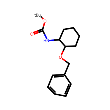 CC(C)(C)OC(=O)NC1CCCCC1OCc1ccccc1